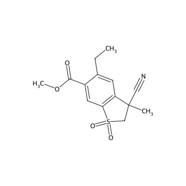 CCc1cc2c(cc1C(=O)OC)S(=O)(=O)CC2(C)C#N